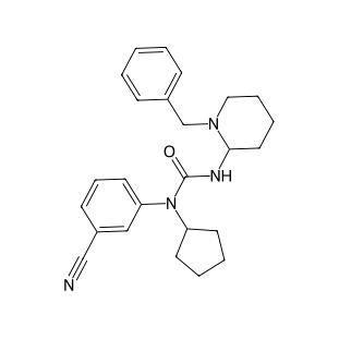 N#Cc1cccc(N(C(=O)NC2CCCCN2Cc2ccccc2)C2CCCC2)c1